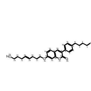 CCCCCc1ccc(-c2cc3ccc(OCCC/C=C/CCCO)cc3oc2=O)cc1